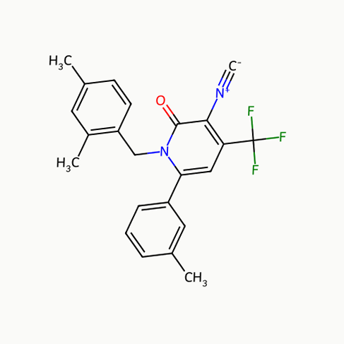 [C-]#[N+]c1c(C(F)(F)F)cc(-c2cccc(C)c2)n(Cc2ccc(C)cc2C)c1=O